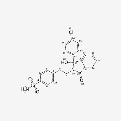 NS(=O)(=O)c1ccc(CCN2C(=O)c3ccccc3C2(O)c2ccc(Cl)cc2)cc1